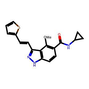 COc1c(C(=O)NC2CC2)ccc2[nH]nc(C=Cc3cccs3)c12